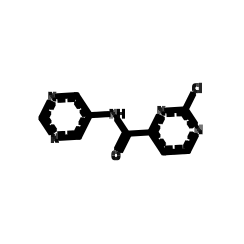 O=C(Nc1cncnc1)c1ccnc(Cl)n1